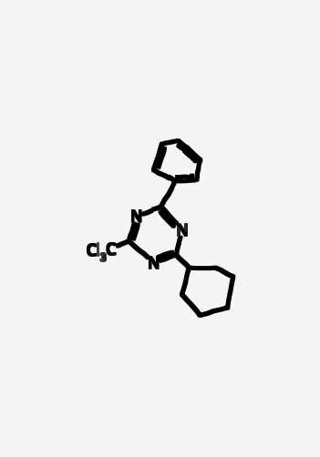 ClC(Cl)(Cl)c1nc(-c2ccccc2)nc(C2CCCCC2)n1